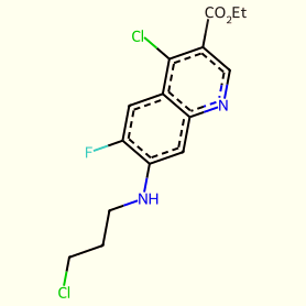 CCOC(=O)c1cnc2cc(NCCCCl)c(F)cc2c1Cl